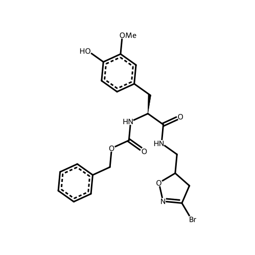 COc1cc(C[C@H](NC(=O)OCc2ccccc2)C(=O)NCC2CC(Br)=NO2)ccc1O